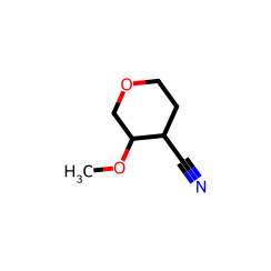 COC1COCCC1C#N